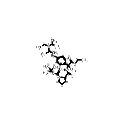 CCN(C(C)C)C(C)C.CCOC(=O)C(C)(NC(=O)C1CCCN1C(=O)OC(C)(C)C)c1ccc(Br)cc1